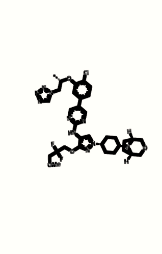 COCC(F)(F)COc1nn([C@H]2CC[C@H](N3[C@@H]4CC[C@H]3COC4)CC2)cc1Nc1ncc(-c2ccc(Cl)c(O[C@@H](C)Cn3cnnn3)c2)cn1